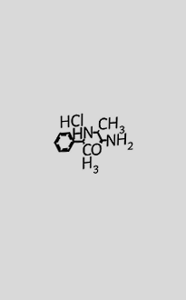 C[C@H](N[C@@H](C)c1ccccc1)C(N)=O.Cl